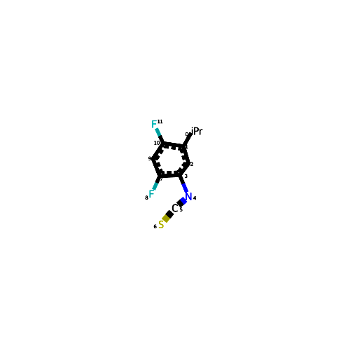 CC(C)c1cc(N=C=S)c(F)cc1F